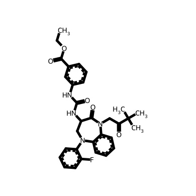 CCOC(=O)c1cccc(NC(=O)NC2CN(c3ccccc3F)c3ccccc3N(CC(=O)C(C)(C)C)C2=O)c1